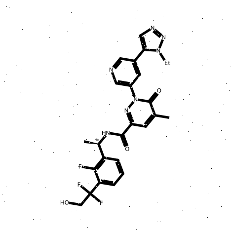 CCn1nncc1-c1cncc(-n2nc(C(=O)N[C@H](C)c3cccc(C(F)(F)CO)c3F)cc(C)c2=O)c1